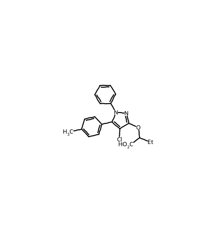 CCC(Oc1nn(-c2ccccc2)c(-c2ccc(C)cc2)c1Cl)C(=O)O